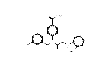 CNC(=O)c1ccc(N(Cc2cccc(Cl)c2)C(=O)CN2OOc3ccccc32)cc1